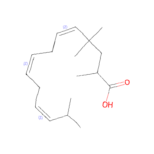 CC(C)/C=C\C/C=C\C/C=C\C(C)(C)CC(C)C(=O)O